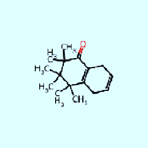 CC1(C)C(=O)C2=C(CC=CC2)C(C)(C)C1(C)C